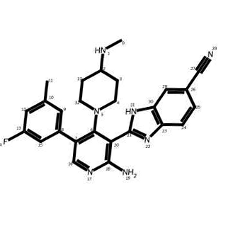 CNC1CCN(c2c(-c3cc(C)cc(F)c3)cnc(N)c2-c2nc3ccc(C#N)cc3[nH]2)CC1